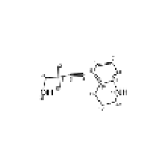 CC(C)(C#Cc1cccc2c1CCCN2)CO